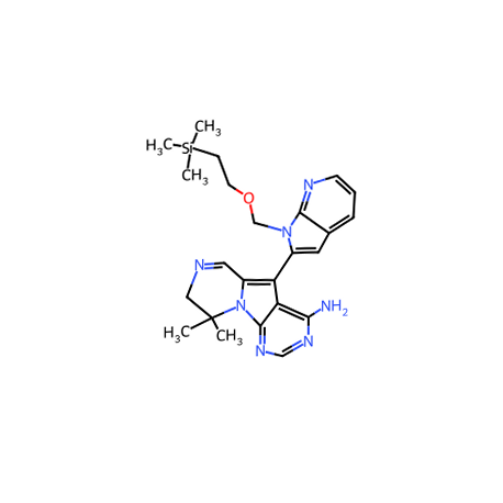 CC1(C)CN=Cc2c(-c3cc4cccnc4n3COCC[Si](C)(C)C)c3c(N)ncnc3n21